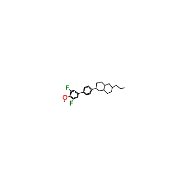 CCCC1CCC2CC(c3ccc(-c4cc(F)c(OC)c(F)c4)cc3)CCC2C1